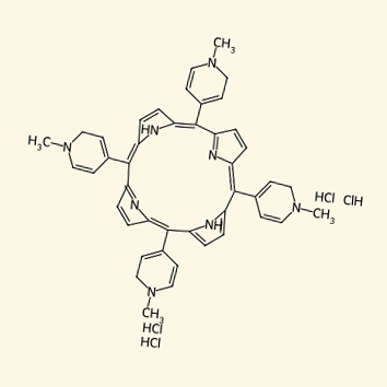 CN1C=CC(c2c3nc(c(C4=CCN(C)C=C4)c4ccc([nH]4)c(C4=CCN(C)C=C4)c4nc(c(C5=CCN(C)C=C5)c5ccc2[nH]5)C=C4)C=C3)=CC1.Cl.Cl.Cl.Cl